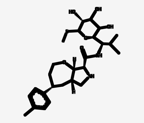 CSC1O[C@H]([C@H](NC(=O)[C@H]2NC[C@@H]3C[C@H](c4ccc(C)cc4)CCO[C@H]32)C(C)C)C(O)C(O)[C@H]1O